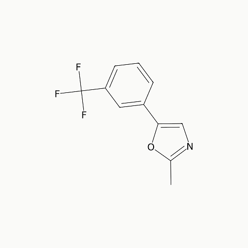 Cc1ncc(-c2cccc(C(F)(F)F)c2)o1